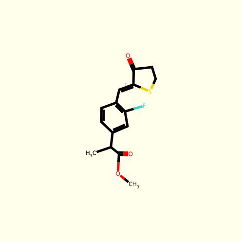 COC(=O)C(C)c1ccc(/C=C2\SCCC2=O)c(F)c1